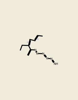 C=C(N=NN=NN=N)/C(=C\C=C\C)CC